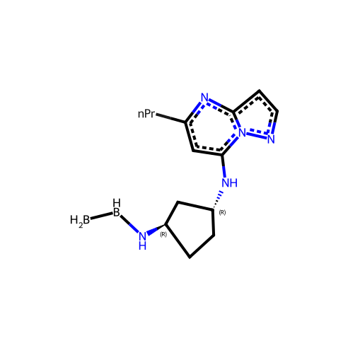 BBN[C@@H]1CC[C@@H](Nc2cc(CCC)nc3ccnn23)C1